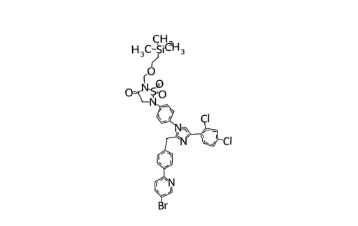 C[Si](C)(C)CCOCN1C(=O)CN(c2ccc(-n3cc(-c4ccc(Cl)cc4Cl)nc3Cc3ccc(-c4ccc(Br)cn4)cc3)cc2)S1(=O)=O